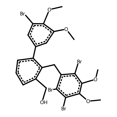 COc1cc(-c2cccc(CO)c2Cc2c(Br)c(Br)c(OC)c(OC)c2Br)cc(Br)c1OC